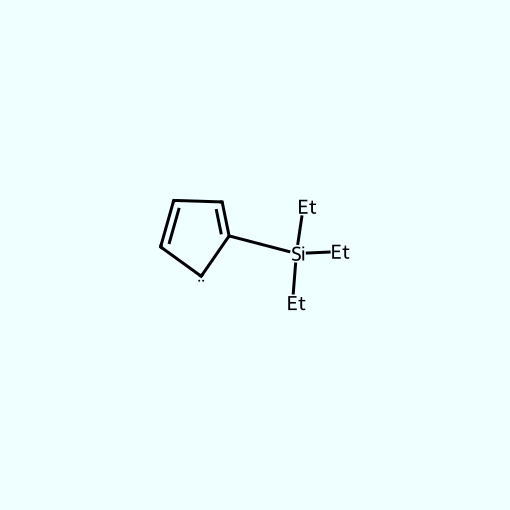 CC[Si](CC)(CC)C1=CC=C[C]1